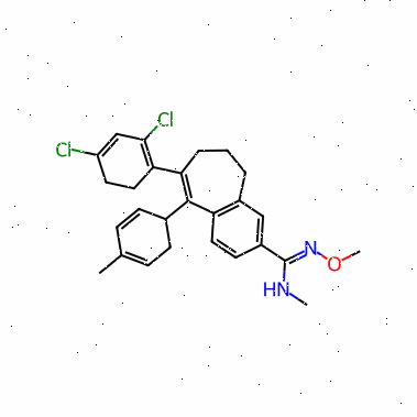 CN/C(=N\OC)c1ccc2c(c1)CCCC(C1=C(Cl)C=C(Cl)CC1)=C2C1C=CC(C)=CC1